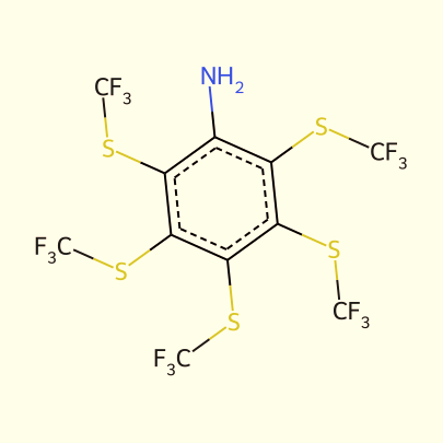 Nc1c(SC(F)(F)F)c(SC(F)(F)F)c(SC(F)(F)F)c(SC(F)(F)F)c1SC(F)(F)F